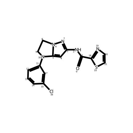 O=C(Nc1cc2n(n1)CCN2c1cccc(Cl)c1)c1nccs1